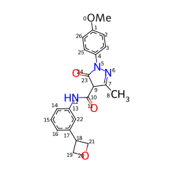 COc1ccc(N2N=C(C)C(C(=O)Nc3cccc(C4COC4)c3)C2=O)cc1